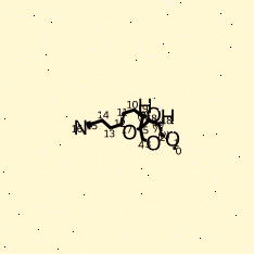 CO[C@@H]1OCC23C[C@H]1O[C@H]2CCC(CCC#N)O3